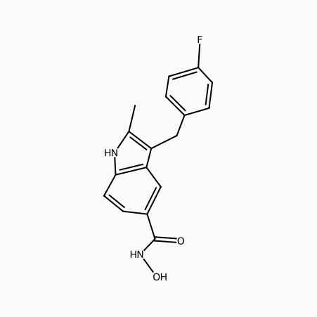 Cc1[nH]c2ccc(C(=O)NO)cc2c1Cc1ccc(F)cc1